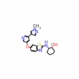 Cn1cc(-c2cncc(Oc3ccc4nc(N[C@@H]5CCCC[C@H]5O)sc4c3)c2)cn1